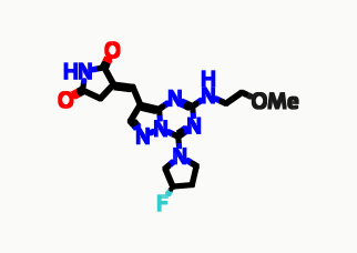 COCCNc1nc(N2CC[C@@H](F)C2)n2ncc(/C=C3\CC(=O)NC3=O)c2n1